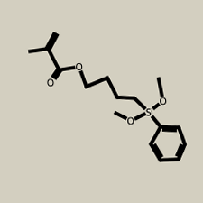 C=C(C)C(=O)OCCCC[Si](OC)(OC)c1ccccc1